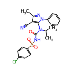 Cc1nn(-c2ccccc2)c(N(C(=O)NS(=O)(=O)c2ccc(Cl)cc2)C(C)C)c1C#N